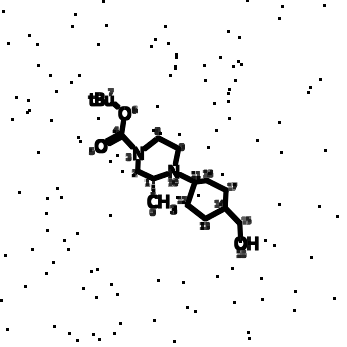 C[C@@H]1CN(C(=O)OC(C)(C)C)CCN1C1CCC(CO)CC1